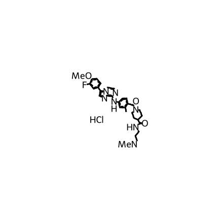 CNCCCNC(=O)C1CCN(C(=O)c2ccc(Nc3nccn4c(-c5ccc(OC)c(F)c5)cnc34)cc2C)CC1.Cl